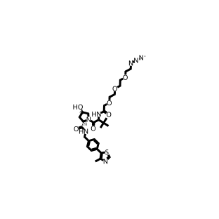 Cc1ncsc1-c1ccc(CNC(=O)[C@@H]2C[C@@H](O)CN2C(=O)C(NC(=O)COCCOCCOCCN=[N+]=[N-])C(C)(C)C)cc1